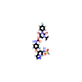 CC(C)n1cc(OC(=O)Nc2ccc(Oc3cc(NS(C)(=O)=O)cn4nccc34)c(F)c2)c(=O)n(-c2ccc(F)cc2)c1=O